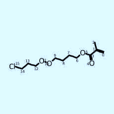 C=C(C)C(=O)OCCCCOOCCCCl